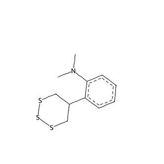 CN(C)c1ccccc1C1CSSSC1